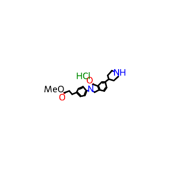 COC(=O)CCc1ccc(N2Cc3ccc(C4CCNCC4)cc3C2=O)cc1.Cl